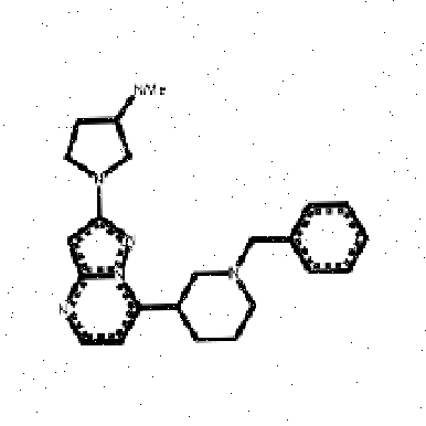 CNC1CCN(c2cc3nccc(C4CCCN(Cc5ccccc5)C4)n3n2)C1